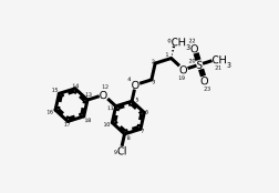 C[C@@H](CCOc1ccc(Cl)cc1Oc1ccccc1)OS(C)(=O)=O